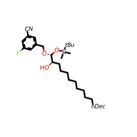 CCCCCCCCCCCCCCCCCCC[C@@H](O)[C@H](OCc1cc(F)cc(C#N)c1)O[Si](C)(C)C(C)(C)C